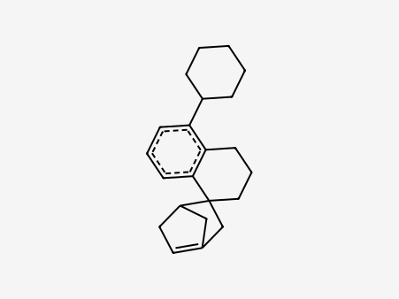 C1=C2CC(C1)C1(CCCc3c(C4CCCCC4)cccc31)C2